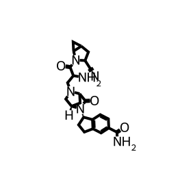 N#CC1CC2CC2N1C(=O)C(N)CN1C[C@@H]2CC1C(=O)N2[C@H]1CCc2cc(C(N)=O)ccc21